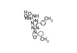 Cc1cccc(-c2nc(C(=N)NC(=O)O)nc3nc(N4CCOCC4)n(C[C@H]4CC[C@H](C)CC4)c23)c1